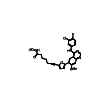 COc1cc2ncnc(Nc3ccc(F)c(Cl)c3)c2cc1-c1ccc(C#CCCCCC(=O)NO)o1